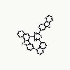 c1ccc(-c2ccc3oc4c5ccccc5cc(-c5nc(-c6ccccc6)nc(-c6ccc7c(c6)sc6ccccc67)n5)c4c3c2)cc1